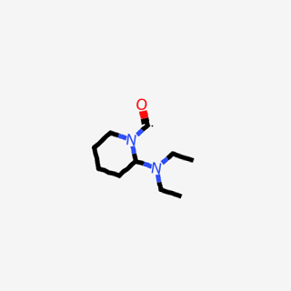 CCN(CC)C1CCCCN1[C]=O